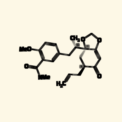 C=CC[C@H]1C[C@]2([C@@H](C)Cc3ccc(OC)c(C(=O)NC)c3)OCOC2=CC1=O